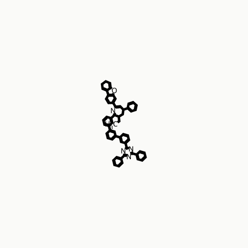 CCC1CC(c2ccccc2)C=C(c2ccc3c4c(oc3c2)=CCCC=4)N=C1c1cccc(-c2cccc(-c3cccc(-c4nc(-c5ccccc5)nc(-c5ccccc5)n4)c3)c2)c1